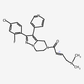 CN(C)C/C=C/C(=O)N1CCn2nc(-c3ccc(Cl)cc3F)c(-c3ccncc3)c2C1